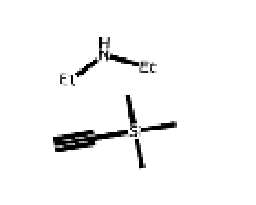 C#C[Si](C)(C)C.CCNCC